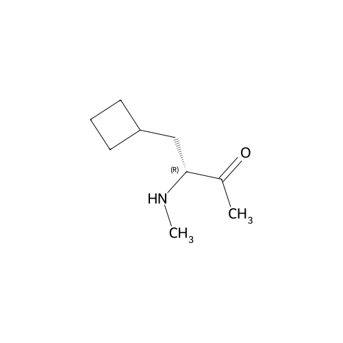 CN[C@H](CC1CCC1)C(C)=O